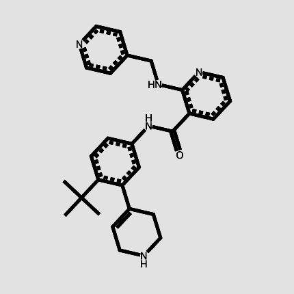 CC(C)(C)c1ccc(NC(=O)c2cccnc2NCc2ccncc2)cc1C1=CCNCC1